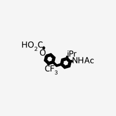 CC(=O)Nc1ccc(Cc2ccc(OCC(=O)O)cc2C(F)(F)F)cc1C(C)C